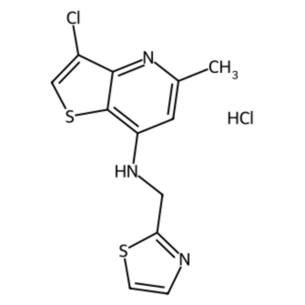 Cc1cc(NCc2nccs2)c2scc(Cl)c2n1.Cl